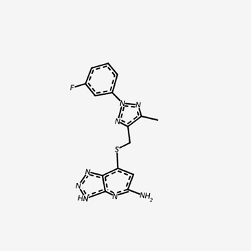 Cc1nn(-c2cccc(F)c2)nc1CSc1cc(N)nc2[nH]nnc12